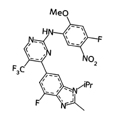 COc1cc(F)c([N+](=O)[O-])cc1Nc1ncc(C(F)(F)F)c(-c2cc(F)c3nc(C)n(C(C)C)c3c2)n1